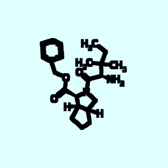 CCC(C)(C)[C@H](N)C(=O)N1C[C@@H]2CCC[C@@H]2[C@H]1C(=O)OCc1ccccc1